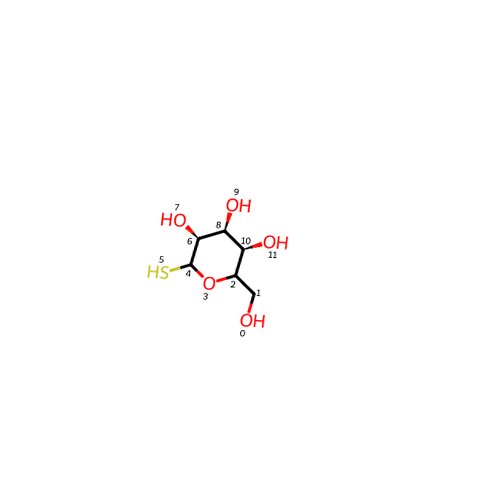 OCC1OC(S)[C@@H](O)[C@@H](O)[C@H]1O